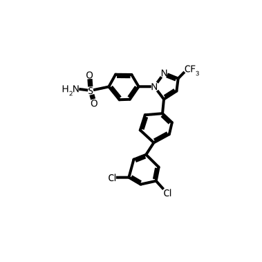 NS(=O)(=O)c1ccc(-n2nc(C(F)(F)F)cc2-c2ccc(-c3cc(Cl)cc(Cl)c3)cc2)cc1